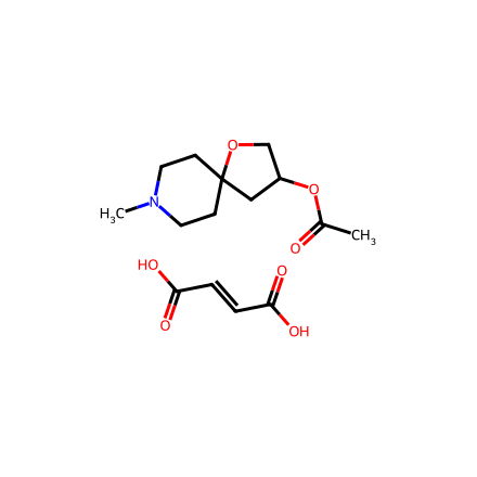 CC(=O)OC1COC2(CCN(C)CC2)C1.O=C(O)/C=C/C(=O)O